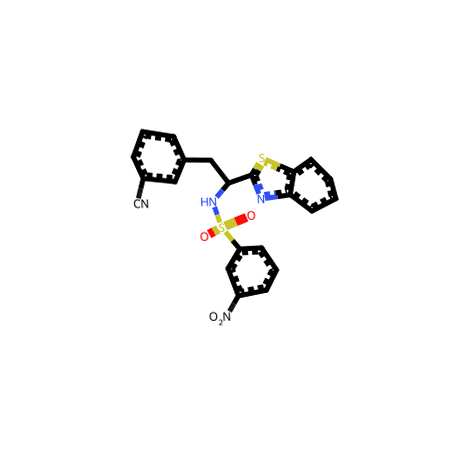 N#Cc1cccc(CC(NS(=O)(=O)c2cccc([N+](=O)[O-])c2)c2nc3ccccc3s2)c1